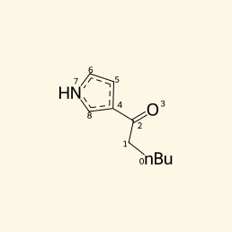 CCCCCC(=O)c1cc[nH]c1